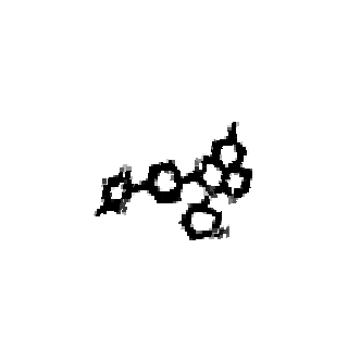 Cc1cc(C)c2c(N(C(=O)c3ccc(-c4nc(C)no4)cc3)[C@@H]3CCCNC3)nccc2c1